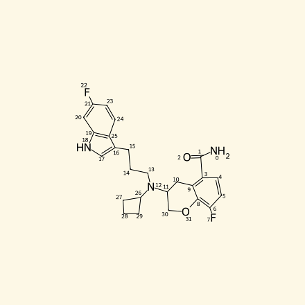 NC(=O)c1ccc(F)c2c1CC(N(CCCc1c[nH]c3cc(F)ccc13)C1CCC1)CO2